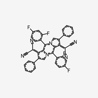 N#CC(C#N)=c1c(-c2ccccc2)cn2c(-c3ccc(F)cc3F)c3c(=C(C#N)C#N)c(-c4ccccc4)cn3c(-c3ccc(F)cc3F)c12